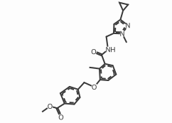 COC(=O)c1ccc(COc2cccc(C(=O)NCc3cc(C4CC4)nn3C)c2C)cc1